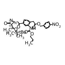 C=CCOC(=O)Nc1cc(C(=O)C[C@H]2[N]C(=O)[C@@H]2[C@@H](C)O[Si](C)(C)C(C)(C)C)ccc1CC(=O)OCc1ccc([N+](=O)[O-])cc1